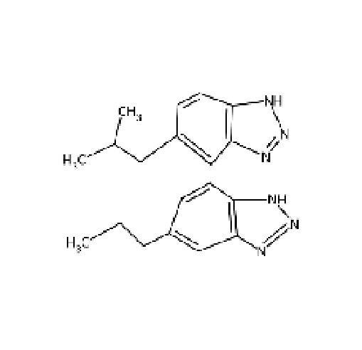 CC(C)Cc1ccc2[nH]nnc2c1.CCCc1ccc2[nH]nnc2c1